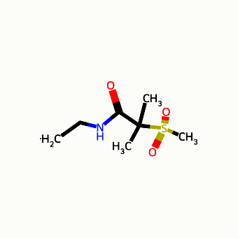 [CH2]CNC(=O)C(C)(C)S(C)(=O)=O